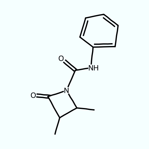 CC1C(=O)N(C(=O)Nc2ccccc2)C1C